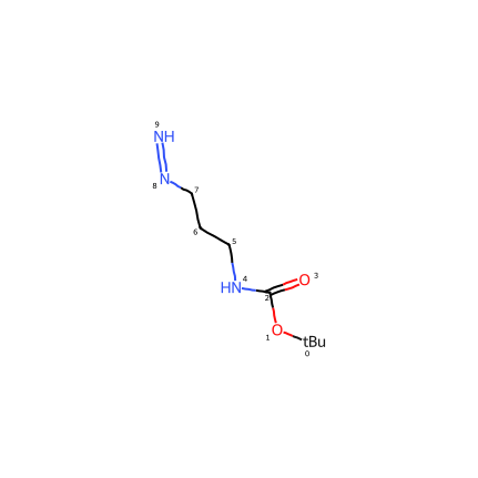 CC(C)(C)OC(=O)NCCCN=N